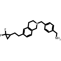 NCc1ccc(CN2CCc3cc(CCC4CC4(F)F)ccc3C2)cc1